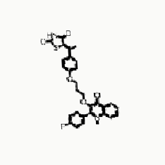 CC(=C1SC(=O)NC1=O)c1ccc(OCCCOc2c(-c3ccc(F)cc3)n(C)c3ccccc3c2=O)cc1